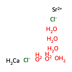 O.O.O.O.O.O.[CaH2].[Cl-].[Cl-].[Sr+2]